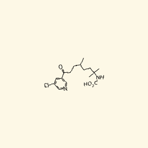 CC(CCC(=O)c1cncc(Cl)c1)CCC(C)(C)NC(=O)O